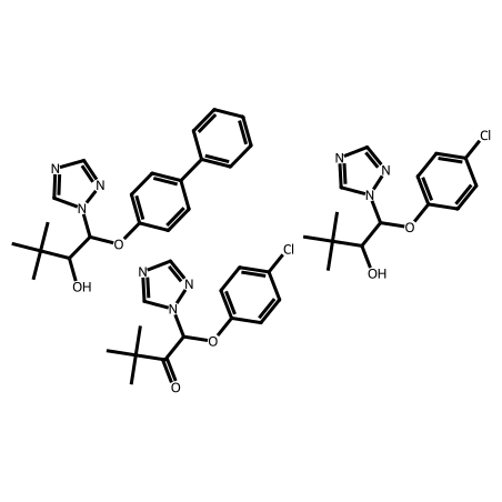 CC(C)(C)C(=O)C(Oc1ccc(Cl)cc1)n1cncn1.CC(C)(C)C(O)C(Oc1ccc(-c2ccccc2)cc1)n1cncn1.CC(C)(C)C(O)C(Oc1ccc(Cl)cc1)n1cncn1